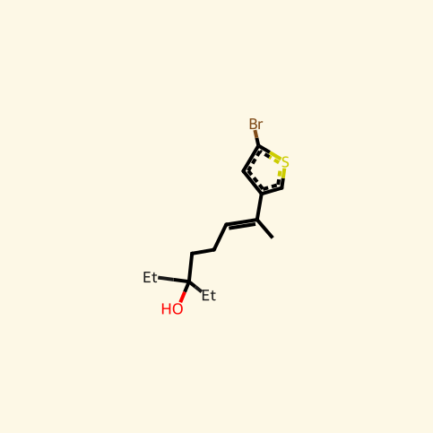 CCC(O)(CC)CC/C=C(\C)c1csc(Br)c1